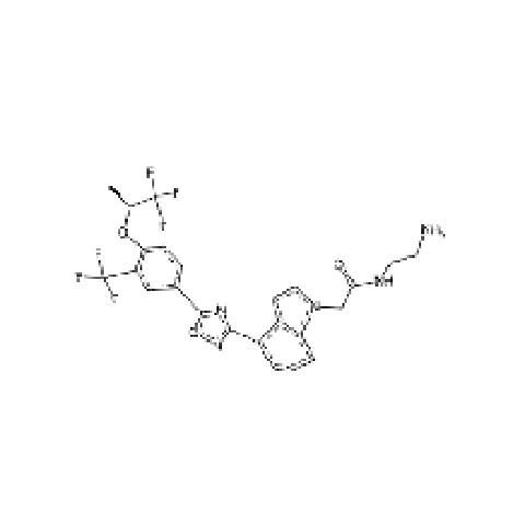 C[C@H](Oc1ccc(-c2nc(-c3cccc4c3ccn4CC(=O)NCCN)no2)cc1C(F)(F)F)C(F)(F)F